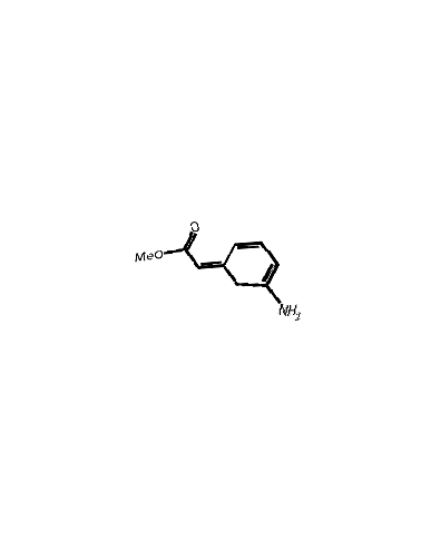 COC(=O)C=C1C=CC=C(N)C1